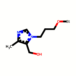 CCOCCCn1cnc(C)c1CO